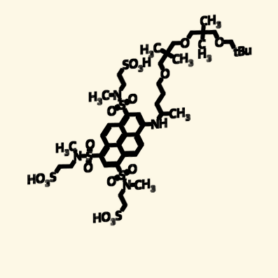 CC(CCCOCC(C)(C)COCC(C)(C)COCC(C)(C)C)Nc1cc(S(=O)(=O)N(C)CCS(=O)(=O)O)c2ccc3c(S(=O)(=O)N(C)CCS(=O)(=O)O)cc(S(=O)(=O)N(C)CCS(=O)(=O)O)c4ccc1c2c43